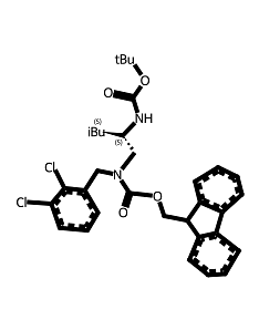 CC[C@H](C)[C@@H](CN(Cc1cccc(Cl)c1Cl)C(=O)OCC1c2ccccc2-c2ccccc21)NC(=O)OC(C)(C)C